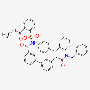 COC(=O)c1ccccc1S(=O)(=O)NC(=O)c1cccc(-c2cccc(CC(=O)N(Cc3ccccc3)C3CCCCC3Cc3ccccc3)c2)c1